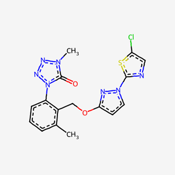 Cc1cccc(-n2nnn(C)c2=O)c1COc1ccn(-c2ncc(Cl)s2)n1